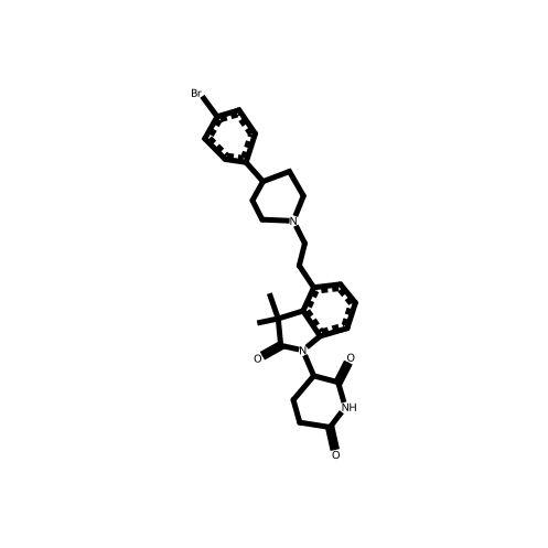 CC1(C)C(=O)N(C2CCC(=O)NC2=O)c2cccc(CCN3CCC(c4ccc(Br)cc4)CC3)c21